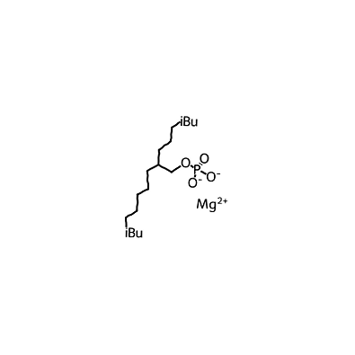 CCC(C)CCCCCC(CCCC(C)CC)COP(=O)([O-])[O-].[Mg+2]